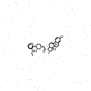 CCNc1cccnc1N1CCN(CC(=O)[C@H]2[C@H](C)C[C@H]3[C@@H]4CCC5=CC(=O)C=C[C@]5(C)C4=CC[C@@]32C)CC1